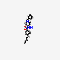 CCC/C=C/c1ccc(C(=O)NC2CCN(Cc3ccccc3)CC2)cc1